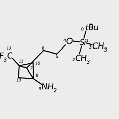 CC(C)(C)[Si](C)(C)OCCC1C2(N)CC1(C(F)(F)F)C2